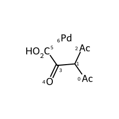 CC(=O)C(C(C)=O)C(=O)C(=O)O.[Pd]